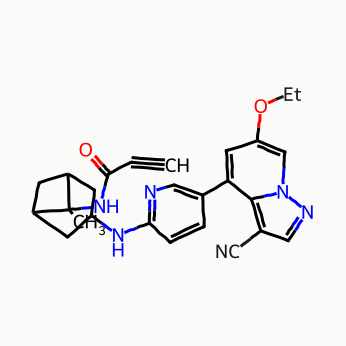 C#CC(=O)NC1(C)C2CC(Nc3ccc(-c4cc(OCC)cn5ncc(C#N)c45)cn3)CC1C2